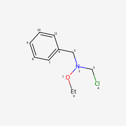 CCON(CCl)Cc1ccccc1